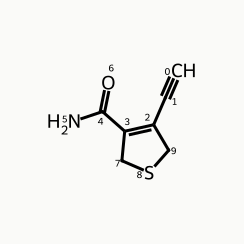 C#CC1=C(C(N)=O)CSC1